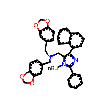 CCCCn1c(-c2ccccc2)nc(-c2cccc3ccccc23)c1CN(Cc1ccc2c(c1)OCO2)Cc1ccc2c(c1)OCO2